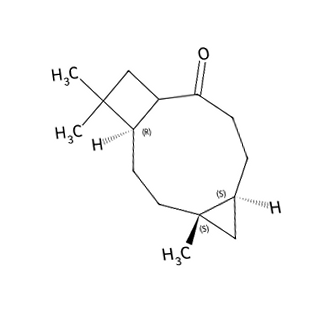 CC1(C)CC2C(=O)CC[C@H]3C[C@]3(C)CC[C@H]21